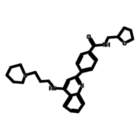 O=C(NCC1CCCO1)c1ccc(-c2cc(NCCCN3CCCCC3)c3ccccc3n2)cc1